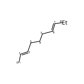 [CH2]/C=C/CCC/C=C/CC